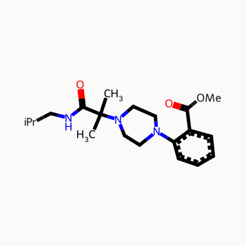 COC(=O)c1ccccc1N1CCN(C(C)(C)C(=O)NCC(C)C)CC1